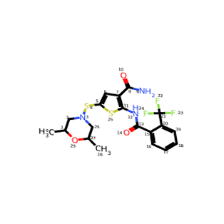 CC1CN(Sc2cc(C(N)=O)c(NC(=O)c3ccccc3C(F)(F)F)s2)CC(C)O1